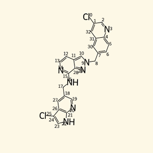 Clc1cnc2ccc(Cn3cc4ccnc(NCc5cnc6[nH]cc(Cl)c6c5)c4n3)cc2c1